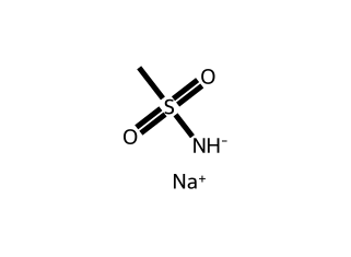 CS([NH-])(=O)=O.[Na+]